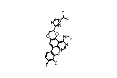 Nc1ncnc2c(-c3ccc(F)c(Cl)c3F)cc3c(c12)O[C@H](c1ncn(C(F)F)n1)CO3